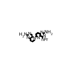 CCCc1nc(N)nc2ccc(N3C=CC=C4N=C(N)N=CC43)nc12